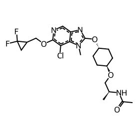 CC(=O)N[C@@H](C)CO[C@H]1CC[C@H](Oc2nc3cnc(OCC4CC4(F)F)c(Cl)c3n2C)CC1